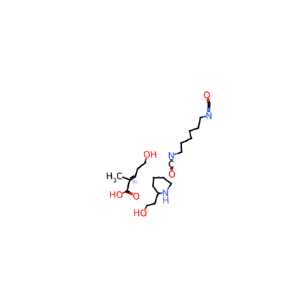 C/C(=C\CCO)C(=O)O.O=C=NCCCCCCN=C=O.OCCC1CCCCN1